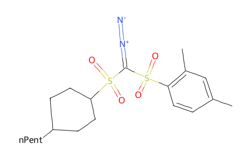 CCCCCC1CCC(S(=O)(=O)C(=[N+]=[N-])S(=O)(=O)c2ccc(C)cc2C)CC1